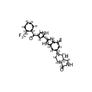 O=C(c1c[nH]c(-c2nc3c(F)cc(N4CCN5C(=O)NC[C@@H]5C4)cc3[nH]2)c1)c1ccccc1C(F)(F)F